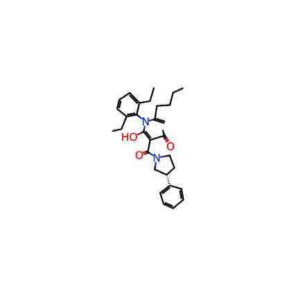 C=C(CCCC)N(/C(O)=C(\C(C)=O)C(=O)N1CC[C@H](c2ccccc2)C1)c1c(CC)cccc1CC